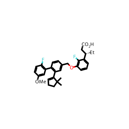 CC[C@@H](CC(=O)O)c1cccc(OCc2ccc(-c3cc(OC)ccc3F)c(C3=CCCC3(C)C)c2)c1F